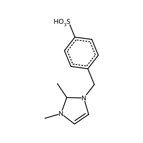 CC1N(C)C=CN1Cc1ccc(S(=O)(=O)O)cc1